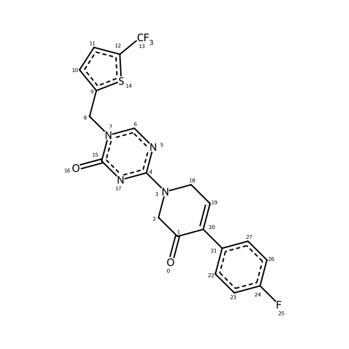 O=C1CN(c2ncn(Cc3ccc(C(F)(F)F)s3)c(=O)n2)CC=C1c1ccc(F)cc1